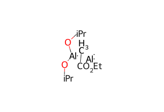 CC(C)[O][Al][O]C(C)C.CCOC(C)=O.[Al]